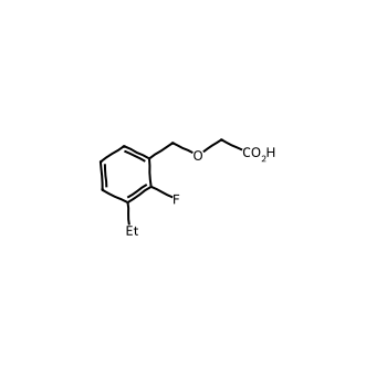 CCc1cccc(COCC(=O)O)c1F